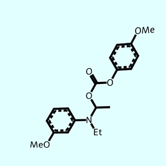 CCN(c1cccc(OC)c1)C(C)OC(=O)Oc1ccc(OC)cc1